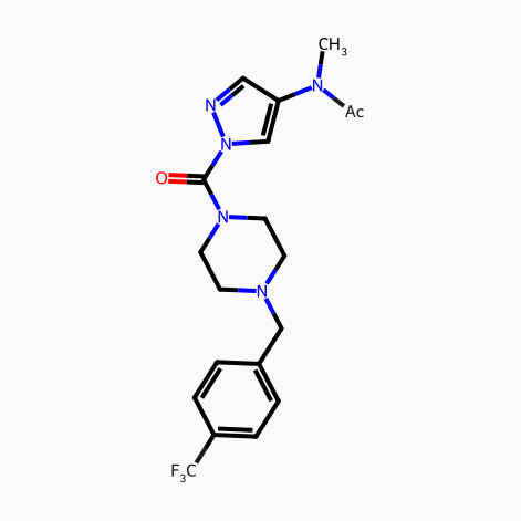 CC(=O)N(C)c1cnn(C(=O)N2CCN(Cc3ccc(C(F)(F)F)cc3)CC2)c1